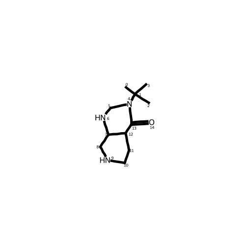 CC(C)(C)N1CNC2CNCCC2C1=O